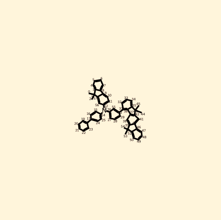 CC1(C)c2ccccc2-c2ccc(N(c3ccc(-c4ccccc4)cc3)c3cccc(-c4cccc5c4-c4cc6c(cc4C5(C)C)-c4ccccc4C6(C)C)c3)cc21